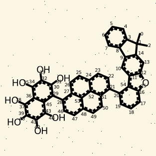 CC1(C)c2ccccc2-c2cc3c(cc21)oc1cccc(-c2ccc4ccc5c(-c6c(O)c(O)c(O)c7c(O)c(O)c(O)c(O)c67)ccc6ccc2c4c65)c13